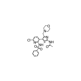 CC(=O)Nc1nc(CN2CCOCC2)c(-c2ccc(Cl)nc2NS(=O)(=O)c2ccccc2)s1